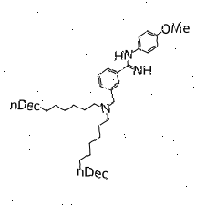 CCCCCCCCCCCCCCCCN(CCCCCCCCCCCCCCCC)Cc1cccc(C(=N)Nc2ccc(OC)cc2)c1